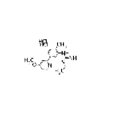 CCSC(=N)Nc1cc(-c2cc(OC)ccn2)ccc1C.Cl.Cl